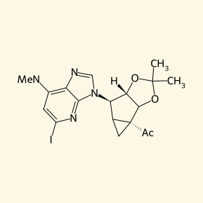 CNc1cc(I)nc2c1ncn2[C@@H]1C2C[C@]2(C(C)=O)C2OC(C)(C)O[C@H]21